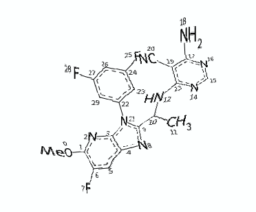 COc1nc2c(cc1F)nc(C(C)Nc1ncnc(N)c1C#N)n2-c1cc(F)cc(F)c1